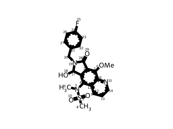 COc1c2c(c(N(C)S(C)(=O)=O)c3cccnc13)C(O)N(Cc1ccc(F)cc1)C2=O